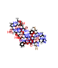 CSCC[C@H](NC(=O)[C@@H](NC(=O)[C@H](Cc1c[nH]cn1)NC(=O)[C@H](CS)NC(=O)[C@H](Cc1c[nH]c2ccccc12)NC(=O)[C@H](Cc1ccccc1)NC(=O)[C@H](CCC(=O)O)NC(=O)[C@H](CC(C)C)NC(=O)[C@H](CC(=O)O)NC(=O)[C@H](CC(=O)O)NC(=O)[C@H](CO)NC(=O)[C@@H]1CCCN1C(=O)[C@H](CC(C)C)NC(C)=O)C(C)C)C(=O)N[C@@H](Cc1ccc(O)cc1)C(N)=O